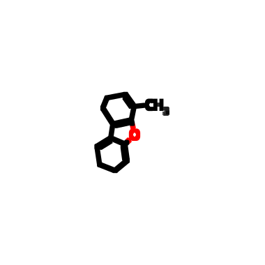 CC1=CCCc2c1oc1c2=CCCC=1